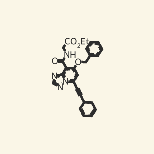 CCOC(=O)CNC(=O)c1c(OCc2ccccc2)cc(C#CC2C=CC=CC2)n2ncnc12